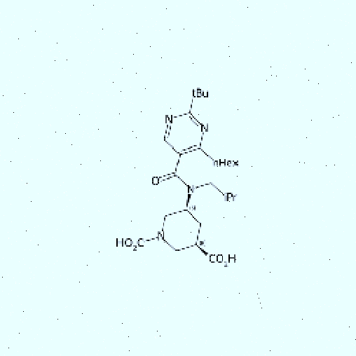 CCCCCCc1nc(C(C)(C)C)ncc1C(=O)N(CC(C)C)[C@H]1C[C@@H](C(=O)O)CN(C(=O)O)C1